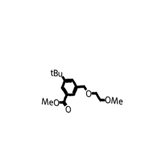 COCCOCc1cc(C(=O)OC)cc(C(C)(C)C)c1